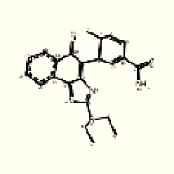 CCN(CC)C1=NC2=C(C3C=C(C(N)=O)C=CC3C)C(=O)c3ccccc3C2=N1